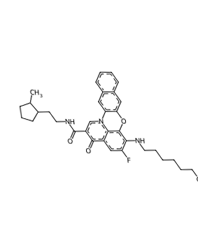 CC1CCCC1CCNC(=O)c1cn2c3c(c(NCCCCCCO)c(F)cc3c1=O)Oc1cc3ccccc3cc1-2